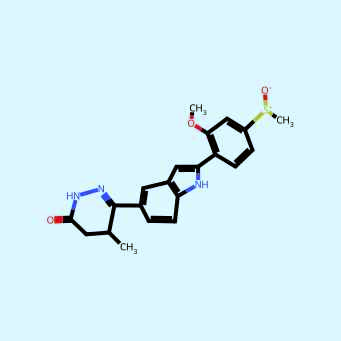 COc1cc([S+](C)[O-])ccc1-c1cc2cc(C3=NNC(=O)CC3C)ccc2[nH]1